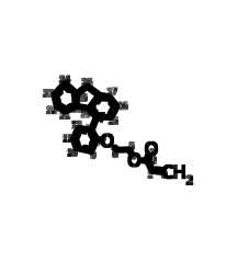 C=CC(=O)OCCOc1ccccc1-c1cccc2c1-c1ccccc1C2